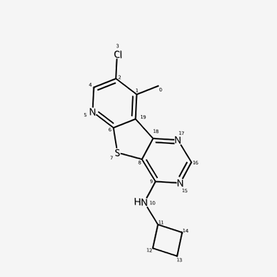 Cc1c(Cl)cnc2sc3c(NC4CCC4)ncnc3c12